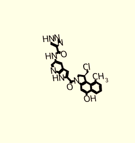 Cc1cccc2c(O)cc3c(c12)[C@H](CCl)CN3C(=O)c1cc2cc(NC(=O)c3c[nH]nn3)cnc2[nH]1